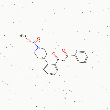 CC(C)(C)OC(=O)N1CCC(c2ccccc2C(=O)CC(=O)c2ccccc2)CC1